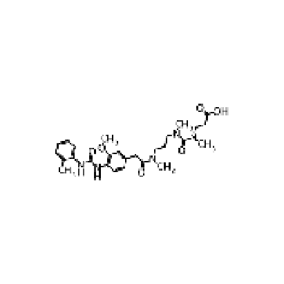 COc1cc(CC(=O)N(C)CCCN(C)C(=O)N(C)CCC(=O)O)ccc1NC(=O)Nc1ccccc1C